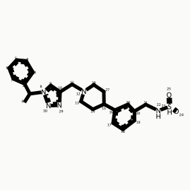 CC(c1ccccc1)n1cc(CN2CCC(c3cccc(CN[SH](=O)=O)c3)CC2)nn1